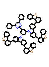 c1ccc(-c2cc(-c3ccccc3)nc(-c3cc(-n4c5ccc(-c6cccc7sc8ccccc8c67)cc5c5cc(-c6cccc7sc8ccccc8c67)ccc54)cc(-n4c5ccc(-c6cccc7sc8ccccc8c67)cc5c5cc(-c6cccc7sc8ccccc8c67)ccc54)c3)n2)cc1